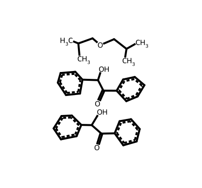 CC(C)COCC(C)C.O=C(c1ccccc1)C(O)c1ccccc1.O=C(c1ccccc1)C(O)c1ccccc1